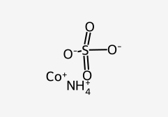 O=S(=O)([O-])[O-].[Co+].[NH4+]